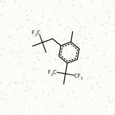 Cc1ccc(C(C)(C(F)(F)F)C(F)(F)F)cc1CC(C)(C)C(F)(F)F